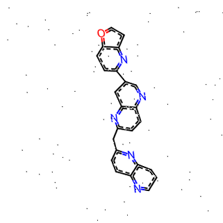 c1cnc2ccc(Cc3ccc4ncc(-c5ccc6occc6n5)cc4n3)nc2c1